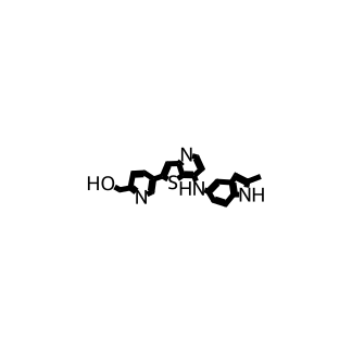 Cc1cc2cc(Nc3ccnc4cc(-c5ccc(CO)nc5)sc34)ccc2[nH]1